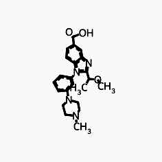 COC(C)c1nc2cc(C(=O)O)ccc2n1-c1cccc(N2CCN(C)CC2)c1